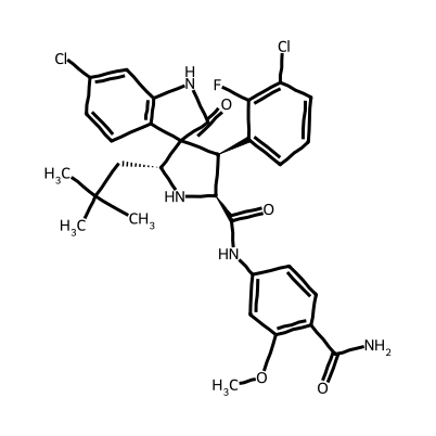 COc1cc(NC(=O)[C@H]2N[C@H](CC(C)(C)C)C3(C(=O)Nc4cc(Cl)ccc43)[C@H]2c2cccc(Cl)c2F)ccc1C(N)=O